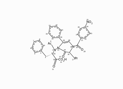 CC(=O)N([C@@H](Cc1ccccc1)C(=O)C(=O)O)N1C(=O)C(C(C)C)N(C(=O)c2ccc([N+](=O)[O-])cc2)C=C1c1ccccc1